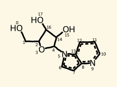 OCC1OC(n2ccc3ncccc32)C(O)C1O